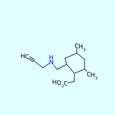 C#CCNCC1CC(C)CC(C)C1CC(=O)O